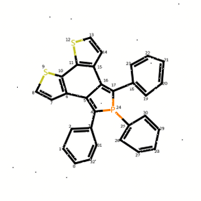 c1ccc(-c2c3c4ccsc4c4sccc4c3c(-c3ccccc3)p2-c2ccccc2)cc1